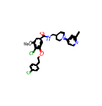 COc1cc(C(=O)NCC2CCN(c3ccnc(C)c3)CC2)cc(OCCc2ccc(Cl)cc2)c1Cl